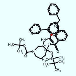 CC(C)(C)OC(=O)N1CCC[C@@](OC(=O)c2cccc(OCc3ccccc3)c2OCc2ccccc2)(O[Si](C)(C)C(C)(C)C)[C@H](NC(=O)c2ccccc2)C1